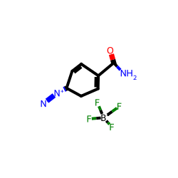 F[B-](F)(F)F.[N-]=[N+]=C1C=CC(C(N)=O)=CC1